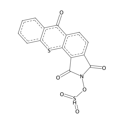 O=C1c2ccc3c(=O)c4ccccc4sc3c2C(=O)N1O[SH](=O)=O